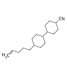 C=CCCCC1CCC(C2CCC(C#N)CC2)CC1